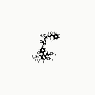 COC(=O)C1=C(C)NC(C)=C(C(=O)OC)C1c1ccc(OCC(=O)NCC(C)(C)NCC(O)c2ccccc2)cc1Cl